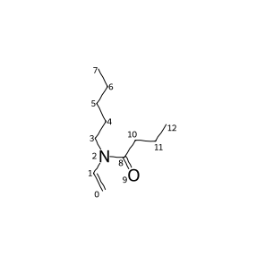 C=CN(CCCCC)C(=O)CCC